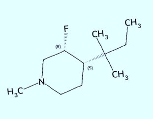 CCC(C)(C)[C@@H]1CCN(C)C[C@@H]1F